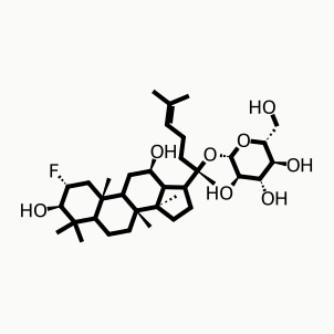 CC(C)=CCC[C@](C)(O[C@@H]1O[C@H](CO)[C@@H](O)[C@H](O)[C@H]1O)C1CC[C@]2(C)C1[C@H](O)CC1[C@@]3(C)C[C@@H](F)[C@H](O)C(C)(C)C3CC[C@]12C